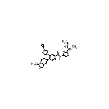 C=CN/C(=N\C)c1nc(NC(=O)c2cc(-n3cnc(C4CC4)c3)c(N3CCN4C(=C)OCC4C3)cn2)cs1